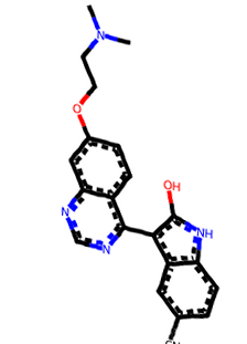 CN(C)CCOc1ccc2c(-c3c(O)[nH]c4ccc(C#N)cc34)ncnc2c1